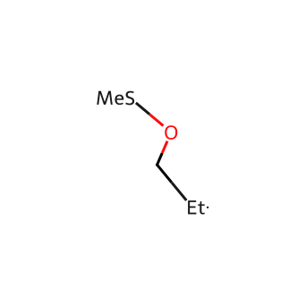 C[CH]COSC